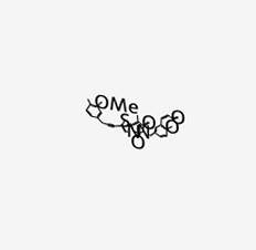 COc1cc(CC#Cc2cn3c(=O)n(Cc4ccc5oc(=O)ccc5c4)c(=O)c(C)c3s2)ccc1C